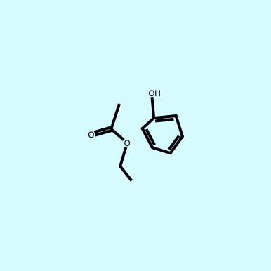 CCOC(C)=O.Oc1ccccc1